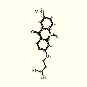 CCN(CC)CCOc1ccc2c(=O)c3cc(OC)ccc3n(C)c2c1